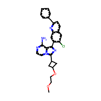 COCCOC1CC(c2nc(-c3cc4nc(-c5ccccc5)ccc4cc3Cl)c3c(N)nccn23)C1